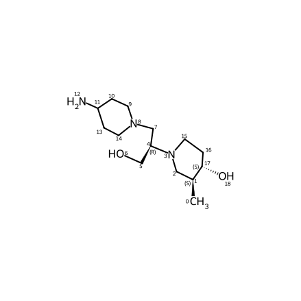 C[C@H]1CN([C@@H](CO)CN2CCC(N)CC2)CC[C@@H]1O